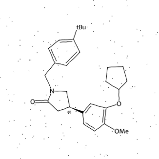 COc1ccc([C@H]2CC(=O)N(Cc3ccc(C(C)(C)C)cc3)C2)cc1OC1CCCC1